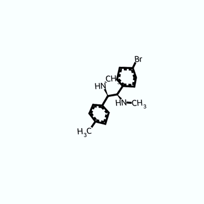 CN[C@H](c1ccc(C)cc1)[C@H](NC)c1ccc(Br)cc1